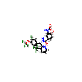 O=C(N[C@@H](c1ccc(OC(F)(F)F)c(F)c1)c1ncccc1C(F)(F)F)c1ccc2oc(=O)[nH]c2c1